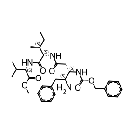 CC[C@H](C)[C@H](NC(=O)C[C@H](NC(=O)OCc1ccccc1)[C@@H](N)Cc1ccccc1)C(=O)N[C@H](C(=O)OC)C(C)C